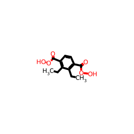 CCc1c(C(=O)OO)ccc(C(=O)OO)c1CC